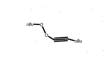 CCCCC#COOCCCC